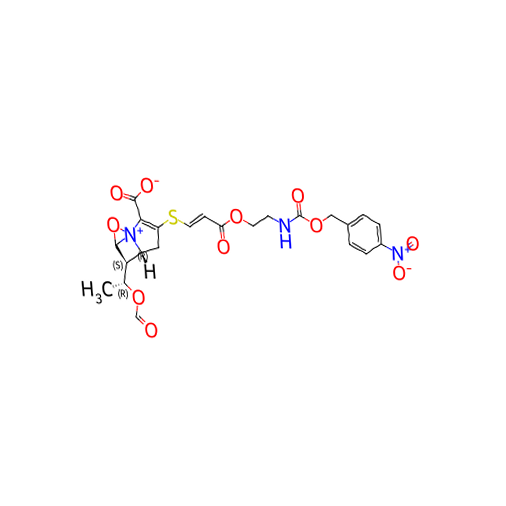 C[C@@H](OC=O)[C@H]1C2O[N+]23C(C(=O)[O-])=C(SC=CC(=O)OCCNC(=O)OCc2ccc([N+](=O)[O-])cc2)C[C@H]13